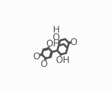 O=C1C=C(O)C(C2C(O)CC3CC2C(O)CC3=O)=CC1=O